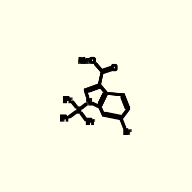 COC(=O)c1cn(S(C(C)C)(C(C)C)C(C)C)c2cc(Br)ccc12